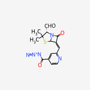 CC1(C)SC2/C(=C\c3cc(C(=O)N=[N+]=[N-])ccn3)C(=O)N2[C@H]1C=O